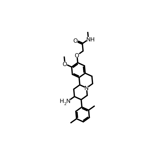 CNC(=O)COc1cc2c(cc1OC)C1CC(N)C(c3cc(C)ccc3C)CN1CC2